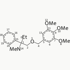 CCC(COCc1cc(OC)c(OC)c(OC)c1)(NC)c1ccccc1